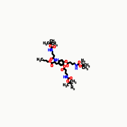 CCCCOC(=O)C(Cc1ccc(OC(=O)CCCNC(=O)OC(C)(C)C)c(OC(=O)CCCNC(=O)OC(C)(C)C)c1)NC(=O)CCCNC(=O)OC(C)(C)C